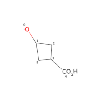 [O]C1CC(C(=O)O)C1